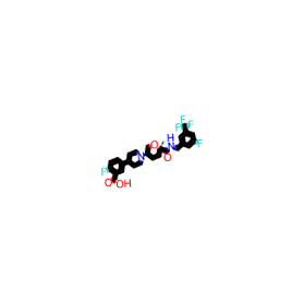 C[C@]1(C(=O)NCc2cc(F)cc(C(F)(F)F)c2)CC[C@@H](N2CCC(c3ccc(F)c(C(=O)O)c3)CC2)CO1